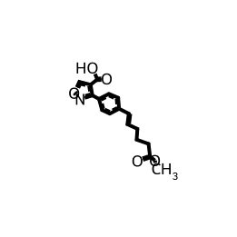 COC(=O)CCC/C=C/c1ccc(-c2nocc2C(=O)O)cc1